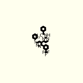 CC(Nc1nccc(-c2cc(Sc3ccccc3)nnc2-c2cccc(C(F)(F)F)c2)n1)c1ccccc1